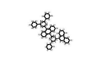 c1ccc(-c2cc(-c3cc4ccccc4c4ccccc34)nc(-c3c4ccccc4c(-c4nc(-c5ccccc5)nc(-c5ccccc5)n4)c4ccccc34)n2)cc1